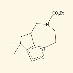 CCOC(=O)N1CCc2scc3c2C(C1)CC3(C)C